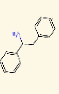 NC(Cc1cc[c]cc1)c1ccccc1